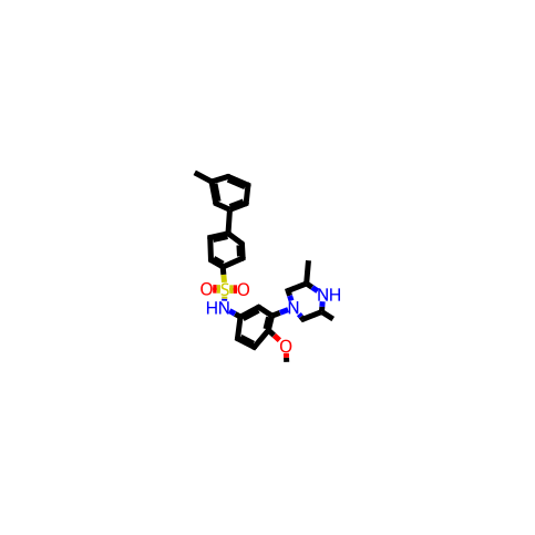 COc1ccc(NS(=O)(=O)c2ccc(-c3cccc(C)c3)cc2)cc1N1CC(C)NC(C)C1